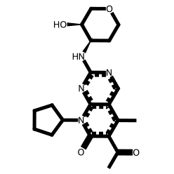 CC(=O)c1c(C)c2cnc(N[C@@H]3CCOC[C@@H]3O)nc2n(C2CCCC2)c1=O